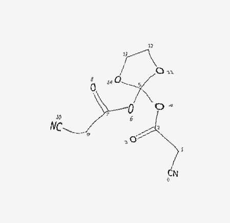 N#CCC(=O)OC1(OC(=O)CC#N)OCCO1